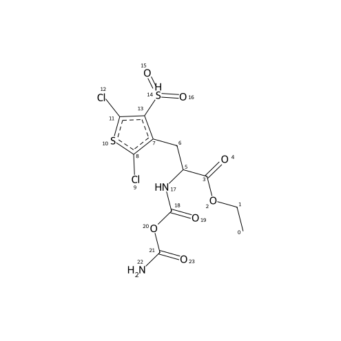 CCOC(=O)C(Cc1c(Cl)sc(Cl)c1[SH](=O)=O)NC(=O)OC(N)=O